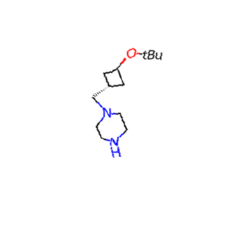 CC(C)(C)O[C@H]1C[C@H](CN2CCNCC2)C1